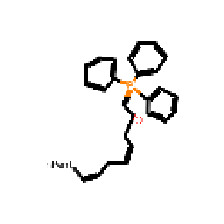 CCCCC/C=C\C/C=C\CC(=O)C=P(c1ccccc1)(c1ccccc1)c1ccccc1